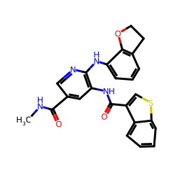 CNC(=O)c1cnc(Nc2cccc3c2OCC3)c(NC(=O)c2csc3ccccc23)c1